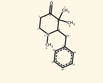 CN1CCC(=O)C(C)(C)C1Cc1ccccc1